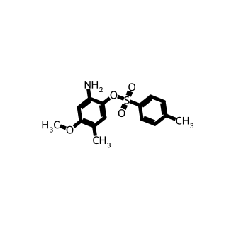 COc1cc(N)c(OS(=O)(=O)c2ccc(C)cc2)cc1C